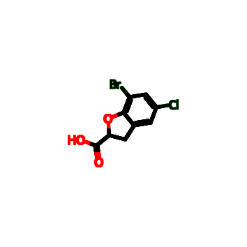 O=C(O)C1Cc2cc(Cl)cc(Br)c2O1